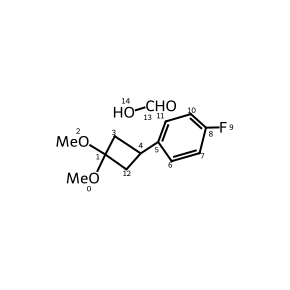 COC1(OC)CC(c2ccc(F)cc2)C1.O=CO